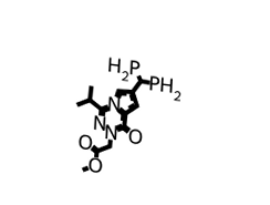 COC(=O)Cn1nc(C(C)C)n2cc(C(P)P)cc2c1=O